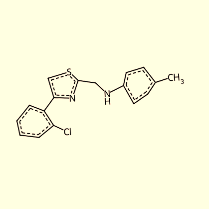 Cc1ccc(NCc2nc(-c3ccccc3Cl)cs2)cc1